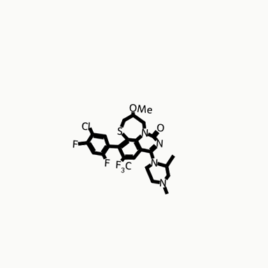 COC1CSc2c(-c3cc(Cl)c(F)cc3F)c(C(F)(F)F)cc3c(N4CCN(C)CC4C)nc(=O)n(c23)C1